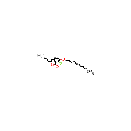 C=CCCc1cc2ccc(OCCCCCCCCCCC)c(F)c2c(=O)o1